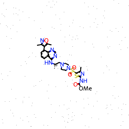 COC(=O)Nc1nc(C)c(S(=O)(=O)N2CCN(C[C@H](C)Nc3ncnc4c(-c5c(C)noc5C)cccc34)CC2)s1